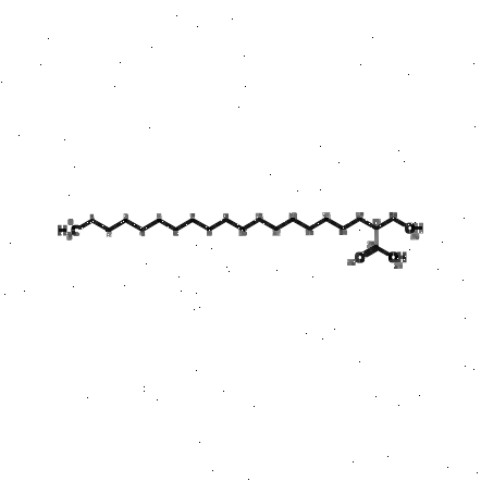 CCCCCCCCCCCCCCCCCCC(CO)C(=O)O